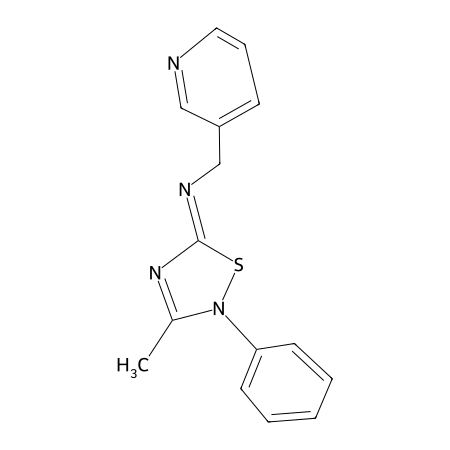 Cc1n/c(=N/Cc2cccnc2)sn1-c1ccccc1